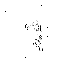 O=c1cc([C@H]2CCN[C@@H](Cc3ccccc3C(F)(F)F)C2)o[nH]1